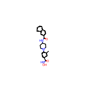 Cc1cc(C(=O)NO)ccc1N1CCC(NC(=O)c2ccc3ccccc3c2)CC1